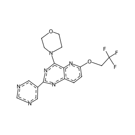 FC(F)(F)COc1ccc2nc(-c3cncnc3)nc(N3CCOCC3)c2n1